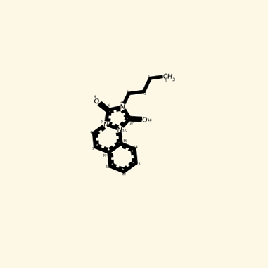 CCCCn1c(=O)n2ccc3ccccc3n2c1=O